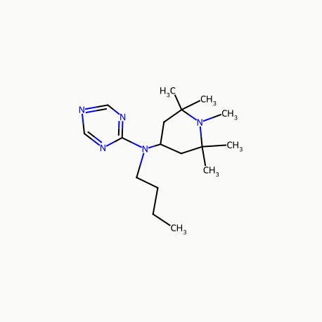 CCCCN(c1ncncn1)C1CC(C)(C)N(C)C(C)(C)C1